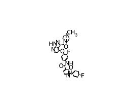 CN1CCN(C(=O)c2n[nH]c3nccc(Oc4ccc(NC(=O)c5ccnn(-c6ccc(F)cc6)c5=O)cc4F)c23)CC1